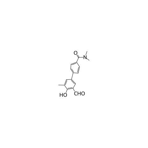 Cc1cc(-c2ccc(C(=O)N(C)C)cc2)cc(C=O)c1O